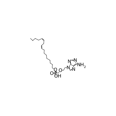 CCCC/C=C\C/C=C\CCCCCCCCOP(=O)(O)COCCn1cnc2c(N)ncnc21